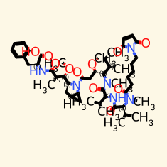 CC[C@H](C)[C@@H](C(CC(=O)N1C2C[C@H]2C[C@H]1[C@H](OC)[C@@H](C)C(=O)N[C@@H](Cc1ccccc1)C(=O)O)OC)N(C)C(=O)[C@@H](NC(=O)[C@H](C(C)C)N(C)C(=O)CCCCCN1C(=O)C=CC1=O)C(C)C